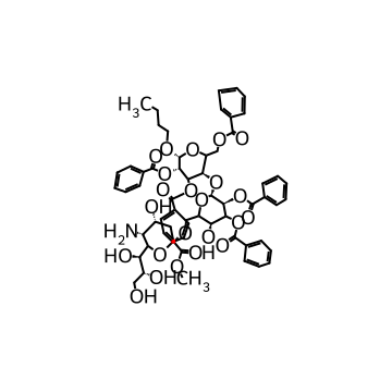 CCCCO[C@@H]1OC(COC(=O)c2ccccc2)[C@@H](O[C@@H]2OC(CO[C@]3(C(=O)OC)C[C@@H](O)[C@@H](N)C([C@H](O)[C@H](O)CO)O3)[C@H](O)C(OC(=O)c3ccccc3)[C@@H]2OC(=O)c2ccccc2)C(OC(=O)c2ccccc2)[C@@H]1OC(=O)c1ccccc1